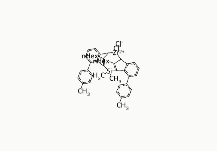 CCCCCCC1=C2c3c(-c4ccc(C)cc4)cccc3[CH]1[Zr+2][CH]1C(CCCCCC)=C(c3c(-c4ccc(C)cc4)cccc31)[Si]2(C)C.[Cl-].[Cl-]